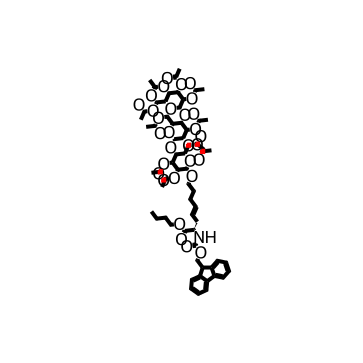 CCCCOC(=O)[C@H](CC=CCCCO[C@@H]1OC(COC(C)=O)[C@@H](O[C@@H]2OC(COC(C)=O)[C@H](O[C@H]3OC(COC(C)=O)[C@H](OC(C)=O)C(OC(C)=O)C3OC(C)=O)C(OC(C)=O)C2OC(C)=O)C(OC(C)=O)C1OC(C)=O)NC(=O)OCC1c2ccccc2-c2ccccc21